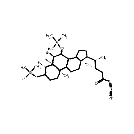 CC[C@H]1C(O[Si](C)(C)C)C2C3CCC([C@H](C)CCC(=O)N=[N+]=[N-])[C@@]3(C)CCC2[C@@]2(C)CCC(O[Si](C)(C)C(C)(C)C)[C@H](F)[C@@H]12